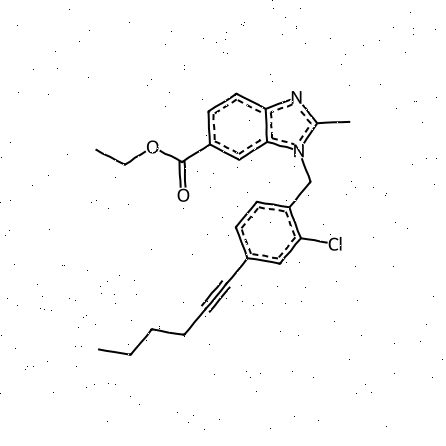 CCCCC#Cc1ccc(Cn2c(C)nc3ccc(C(=O)OCC)cc32)c(Cl)c1